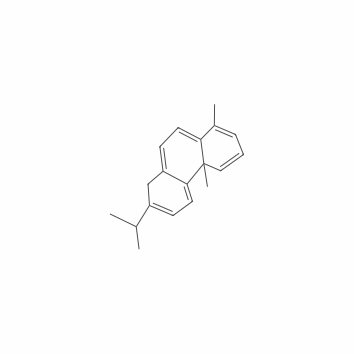 CC1=CC=CC2(C)C1=CC=C1CC(C(C)C)=CC=C12